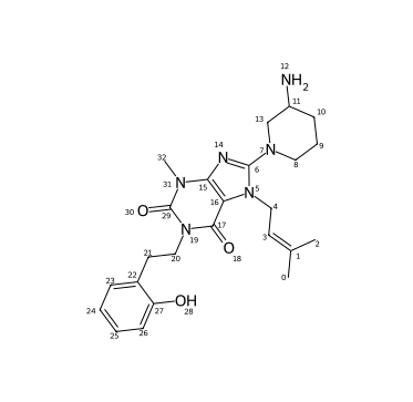 CC(C)=CCn1c(N2CCCC(N)C2)nc2c1c(=O)n(CCc1ccccc1O)c(=O)n2C